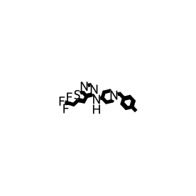 Cc1ccc(CN2CCC(Nc3ncnc4sc(CC(F)(F)F)cc34)CC2)cc1